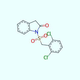 O=C1Cc2ccccc2N1S(=O)(=O)Cc1c(Cl)cccc1Cl